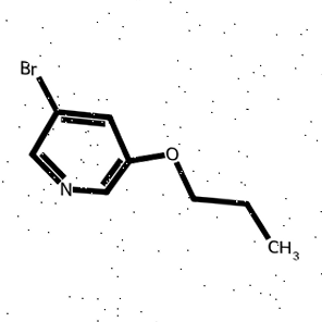 CCCOc1cncc(Br)c1